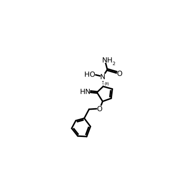 N=C1C(OCc2ccccc2)C=C[C@H]1N(O)C(N)=O